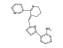 O=[N+]([O-])c1ccccc1-c1ccc(C=C2CCCN=C2c2cccnc2)o1